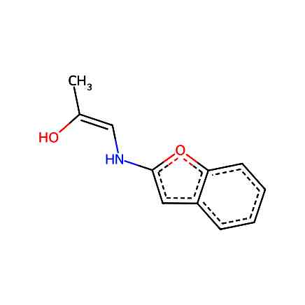 CC(O)=CNc1cc2ccccc2o1